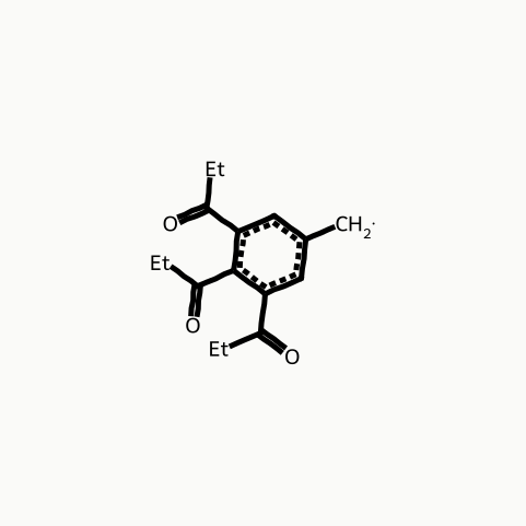 [CH2]c1cc(C(=O)CC)c(C(=O)CC)c(C(=O)CC)c1